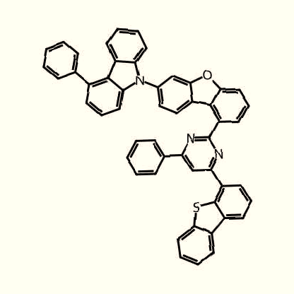 c1ccc(-c2cc(-c3cccc4c3sc3ccccc34)nc(-c3cccc4oc5cc(-n6c7ccccc7c7c(-c8ccccc8)cccc76)ccc5c34)n2)cc1